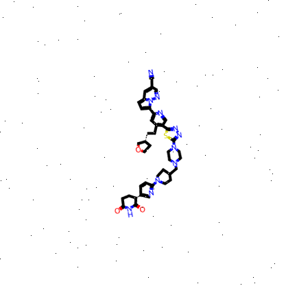 N#Cc1cnn2c(-c3cc(CC[C@@H]4CCOC4)c(-c4nnc(N5CCN(CC6CCN(c7ccc([C@H]8CCC(=O)NC8=O)cn7)CC6)CC5)s4)cn3)ccc2c1